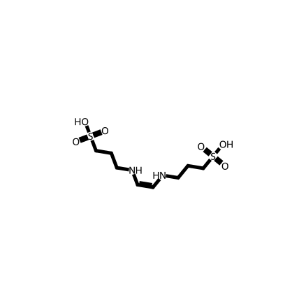 O=S(=O)(O)CCCN/C=C\NCCCS(=O)(=O)O